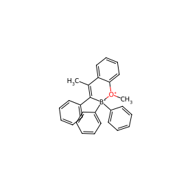 CC1=C(c2ccccc2)[B-](c2ccccc2)(c2ccccc2)[O+](C)c2ccccc21